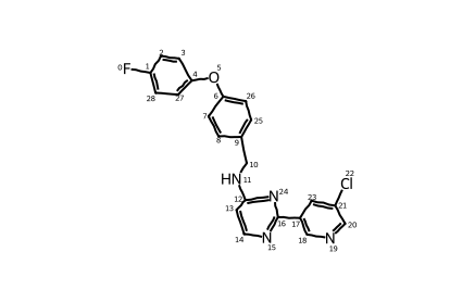 Fc1ccc(Oc2ccc(CNc3ccnc(-c4cncc(Cl)c4)n3)cc2)cc1